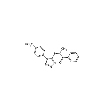 CC(Sc1nnnn1-c1ccc(C(=O)O)cc1)C(=O)c1ccccc1